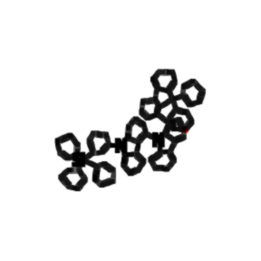 c1ccc(C2(c3ccccc3)c3ccccc3-c3cccc(-c4cccc5c6ccccc6n(-c6cccc7c6c6ccccc6n7-c6cccc([Si](c7ccccc7)(c7ccccc7)c7ccccc7)c6)c45)c32)cc1